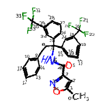 Cc1cc(C(=O)NC(Cc2ccccc2)(c2cccc(C(F)(F)F)c2)c2cccc(C(F)(F)F)c2)no1